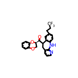 O=C(C1Cc2cccnc2Nc2ccc(CCC(F)(F)F)cc21)[C@H]1COc2ccccc2O1